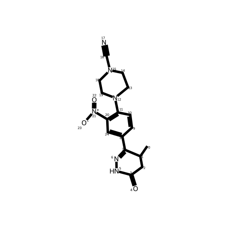 CC1CC(=O)NN=C1c1ccc(N2CCN(C#N)CC2)c([N+](=O)[O-])c1